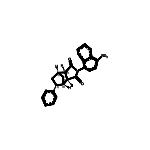 O=C1[C@@H]2[C@H]3C[C@@H]([C@@H]2C(=O)N1c1ccc([N+](=O)[O-])c2ccccc12)[C@H](c1ccccc1)C3